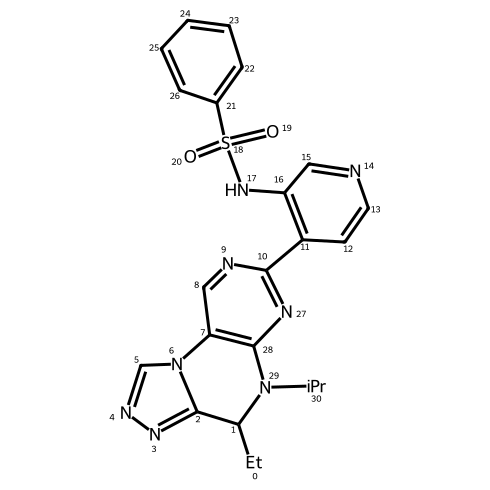 CCC1c2nncn2-c2cnc(-c3ccncc3NS(=O)(=O)c3ccccc3)nc2N1C(C)C